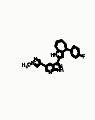 Cn1cc(-c2cnc3[nH]nc(-c4cc5c([nH]4)C=C=CC=C5c4ccc(F)cc4)c3c2)cn1